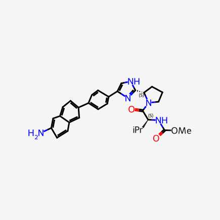 COC(=O)N[C@H](C(=O)N1CCC[C@H]1c1nc(-c2ccc(-c3ccc4cc(N)ccc4c3)cc2)c[nH]1)C(C)C